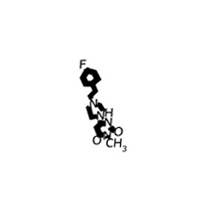 Cn1c(=O)cc(N2CCN(CCc3ccc(F)cc3)CC2)[nH]c1=O